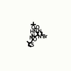 Cc1ccsc1-c1nnc(-c2nc(Br)cnc2NC(=O)OC(C)(C)C)o1